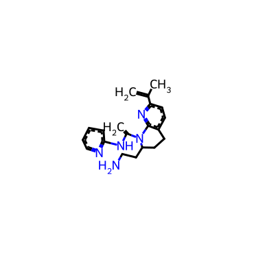 C=C(C)c1ccc2c(n1)N(C(=C)Nc1ccccn1)C(CCN)CC2